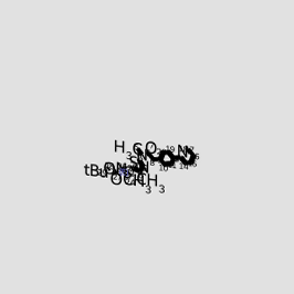 Cc1nc(N(C)C(=O)Cc2ccc(-c3ccccn3)cc2)sc1/S(C)=N/C(=O)OC(C)(C)C